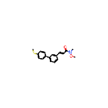 CON(C)C(=O)C=Cc1cccc(-c2ccc(SC)cc2)c1